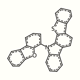 c1ccc2c(c1)oc1c(-n3c4ccccc4c4ccc5c6ccccc6sc5c43)cccc12